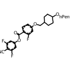 CCCCCOC1CCC(COc2ccc(C(=O)Oc3cc(F)c(C#N)c(F)c3)c(F)c2)CC1